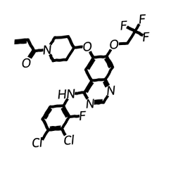 C=CC(=O)N1CCC(Oc2cc3c(Nc4ccc(Cl)c(Cl)c4F)ncnc3cc2OCC(F)(F)F)CC1